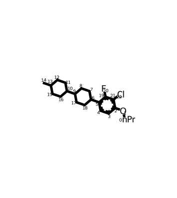 CCCOc1ccc(C2CCC(C3CCC(C)CC3)CC2)c(F)c1Cl